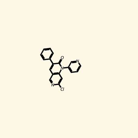 O=c1c(-c2ccccc2)cc2cnc(Cl)cc2n1-c1cccnc1